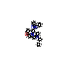 c1ccc(-c2cccc(-n3c4ccccc4c4c3ccc3c5ccc6oc7ccccc7c6c5n(-c5ccc(-c6nc(-c7ccccc7)c7ccccc7n6)cc5)c34)c2)cc1